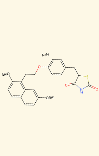 COc1ccc2ccc(OC)c(CCOc3ccc(CC4SC(=O)NC4=O)cc3)c2c1.[NaH]